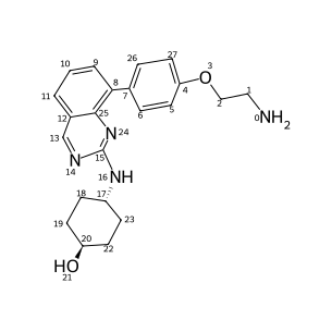 NCCOc1ccc(-c2cccc3cnc(N[C@H]4CC[C@H](O)CC4)nc23)cc1